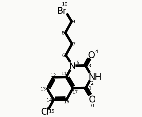 O=c1[nH]c(=O)n(CCCCBr)c2ccc(Cl)cc12